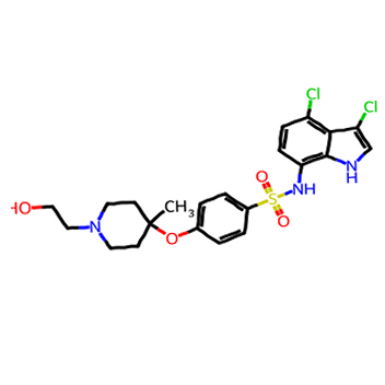 CC1(Oc2ccc(S(=O)(=O)Nc3ccc(Cl)c4c(Cl)c[nH]c34)cc2)CCN(CCO)CC1